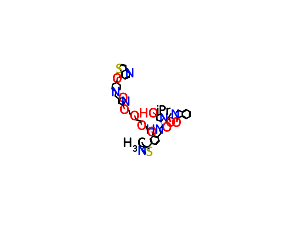 Cc1ncsc1-c1ccc(CNC(=O)[C@@H]2C[C@@H](O)CN2C(=O)C(C(C)C)N2Cc3ccccc3C2=O)c(OCCOCCOCCOc2cc(CN3CCC(Oc4ccnc5ccsc45)CC3)on2)c1